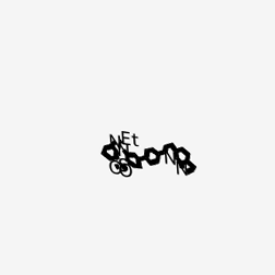 CCc1nc2cccc3c2n1-c1cc(-c2ccc(-c4ccc5ccc6cccnc6c5n4)cc2)ccc1S3(=O)=O